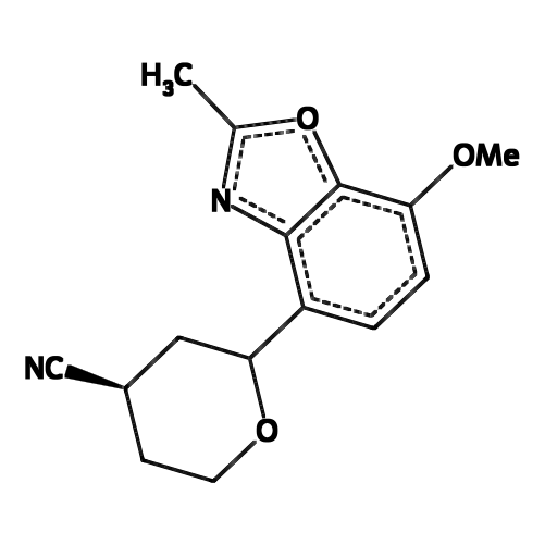 COc1ccc(C2C[C@H](C#N)CCO2)c2nc(C)oc12